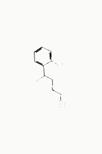 CC(CCCBr)c1ccccc1Cl